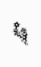 CCOCc1cc2cnc(S(C)(=O)=O)nc2n(CCCS(=O)(=O)n2cnc(-c3ccccc3)n2)c1=O